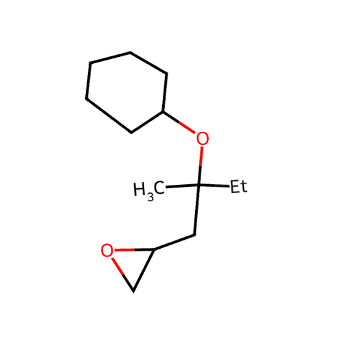 CCC(C)(CC1CO1)OC1CCCCC1